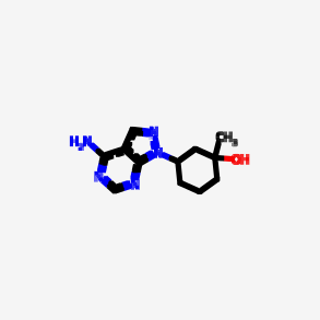 CC1(O)CCCC(n2ncc3c(N)ncnc32)C1